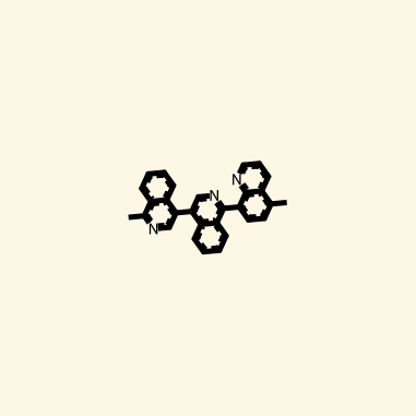 Cc1ncc(-c2cnc(-c3ccc(C)c4cccnc34)c3ccccc23)c2ccccc12